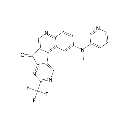 CN(c1cccnc1)c1ccc2ncc3c(c2c1)-c1cnc(C(F)(F)F)nc1C3=O